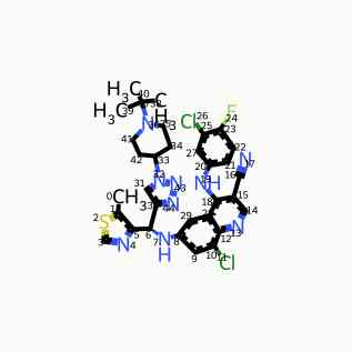 Cc1scnc1[C@H](Nc1cc(Cl)c2ncc(C#N)c(Nc3ccc(F)c(Cl)c3)c2c1)c1cn(C2CCN(C(C)(C)C)CC2)nn1